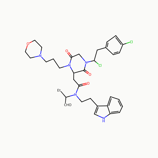 CCC(C=O)N(CCc1c[nH]c2ccccc12)C(=O)CC1C(=O)N(C(Cl)Cc2ccc(Cl)cc2)CC(=O)N1CCCN1CCOCC1